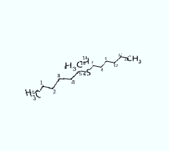 CCCCCCSCCCCCC.CI